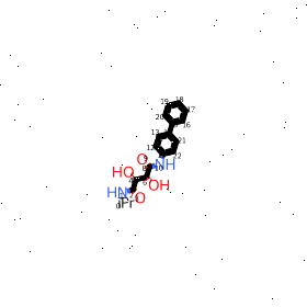 CC(C)NC(=O)[C@H](O)C(O)C(=O)Nc1ccc(-c2ccccc2)cc1